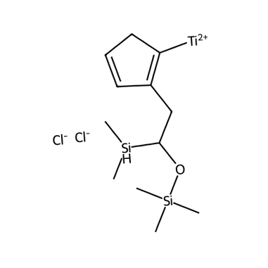 C[SiH](C)C(CC1=[C]([Ti+2])CC=C1)O[Si](C)(C)C.[Cl-].[Cl-]